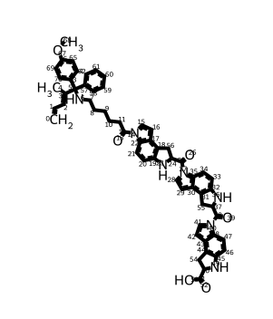 C=CC=C(C)C(NCCCCCC(=O)n1ccc2c3c(ccc21)NC(C(=O)n1ccc2c4c(ccc21)NC(C(=O)n1ccc2c5c(ccc21)NC(C(=O)O)C5)C4)C3)(c1ccccc1)c1ccc(OC)cc1